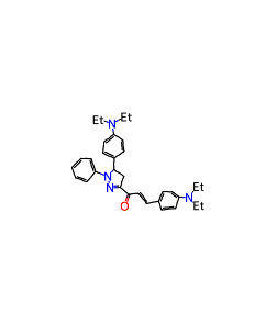 CCN(CC)c1ccc(C=CC(=O)C2=NN(c3ccccc3)C(c3ccc(N(CC)CC)cc3)C2)cc1